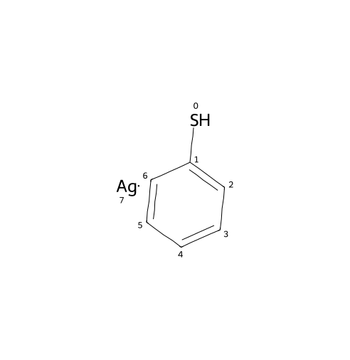 Sc1ccccc1.[Ag]